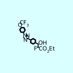 CCOC(=O)C(F)C(O)c1ccc(-c2ncn(-c3ccc(OC(F)(F)F)cc3)n2)cc1